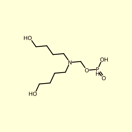 O=[PH](O)OCN(CCCCO)CCCCO